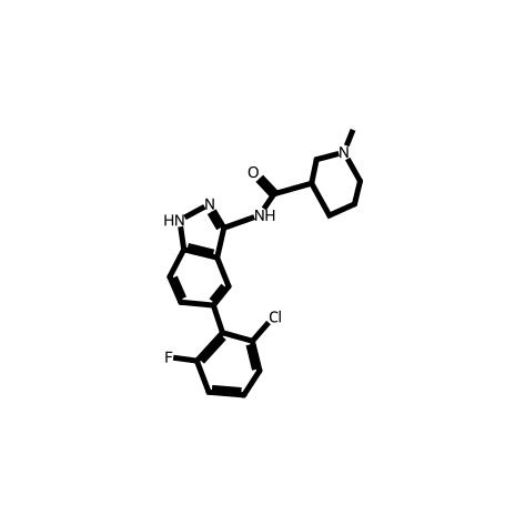 CN1CCCC(C(=O)Nc2n[nH]c3ccc(-c4c(F)cccc4Cl)cc23)C1